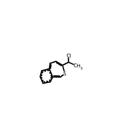 CC(Cl)C1=CC=c2ccccc2=CS1